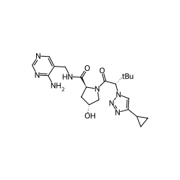 CC(C)(C)[C@@H](C(=O)N1C[C@H](O)C[C@H]1C(=O)NCc1cncnc1N)n1cc(C2CC2)nn1